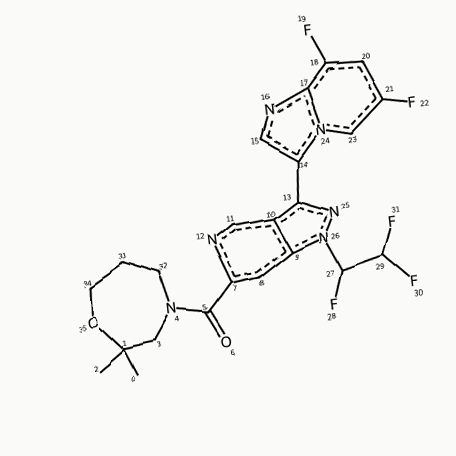 CC1(C)CN(C(=O)c2cc3c(cn2)c(-c2cnc4c(F)cc(F)cn24)nn3C(F)C(F)F)CCCO1